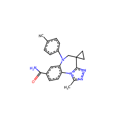 Cc1nnc2n1-c1ccc(C(N)=O)cc1N(c1ccc(C#N)cc1)CC21CC1